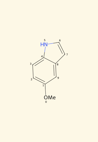 [13CH3]Oc1ccc2[nH]ccc2c1